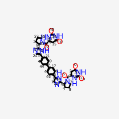 O=C1C[C@@H](C(=O)N2CCC[C@H]2C2=NCC(c3ccc(-c4ccc(-c5cnc([C@@H]6CCCN6C(=O)[C@@H]6CC(=O)NC(=O)N6)[nH]5)cc4)cc3)N2)NC(=O)N1